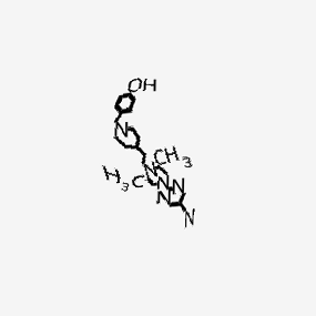 C[C@@H]1CN(c2ncc(C#N)cn2)C[C@H](C)N1CCC1CCN(Cc2ccc(O)cc2)CC1